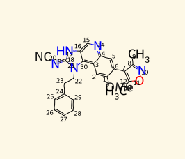 COc1cc2c(cc1-c1c(C)noc1C)ncc1[nH]c(=NC#N)n(CCc3ccccc3)c12